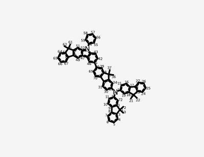 CC1(C)c2ccccc2-c2ccc(N(c3ccc4c(c3)C(C)(C)c3ccccc3-4)c3ccc4c(c3)C(C)(C)c3cc(-c5ccc6c(c5)c5cc7c(cc5n6-c5ccccc5)C(C)(C)c5ccccc5-7)ccc3-4)cc21